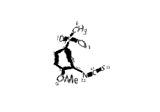 COc1ccc(S(C)(=O)=O)cc1N=C=S